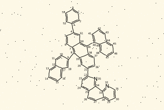 c1ccc(-c2ccc3c(-c4ccc5ccccc5c4)c4cc(-c5ccc6ccc7cccnc7c6n5)ccc4c(-c4cccc5ccccc45)c3c2)cc1